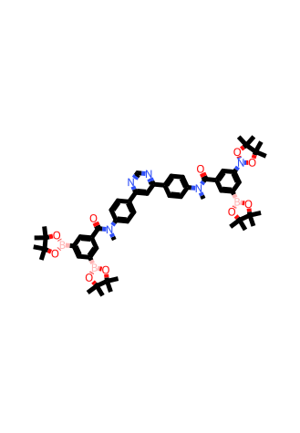 CN(C(=O)c1cc(B2OC(C)(C)C(C)(C)O2)cc(B2OC(C)(C)C(C)(C)O2)c1)c1ccc(-c2cc(-c3ccc(N(C)C(=O)c4cc(B5OC(C)(C)C(C)(C)O5)cc(N5OC(C)(C)C(C)(C)O5)c4)cc3)ncn2)cc1